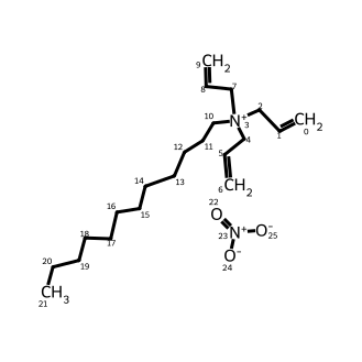 C=CC[N+](CC=C)(CC=C)CCCCCCCCCCCC.O=[N+]([O-])[O-]